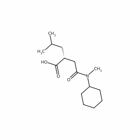 CC(C)C[C@H](CC(=O)N(C)C1CCCCC1)C(=O)O